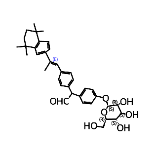 C/C(=C\c1ccc(C(C=O)c2ccc(O[C@@H]3O[C@H](CO)[C@@H](O)[C@H](O)[C@H]3O)cc2)cc1)c1ccc2c(c1)C(C)(C)CCC2(C)C